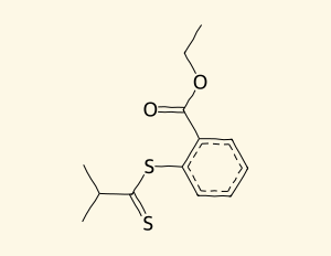 CCOC(=O)c1ccccc1SC(=S)C(C)C